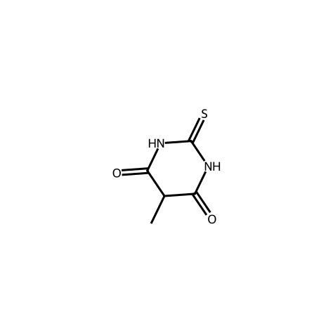 CC1C(=O)NC(=S)NC1=O